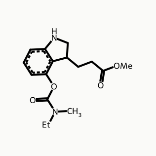 CCN(C)C(=O)Oc1cccc2c1C(CCC(=O)OC)CN2